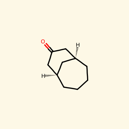 O=C1C[C@H]2CCCC[C@@H](C1)C2